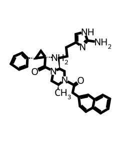 C[C@@H]1CN(C(=O)[C@]2(N)C[C@H]2c2ccccc2)[C@@H](CCCc2c[nH]c(N)n2)CN1C(=O)Cc1ccc2ccccc2c1